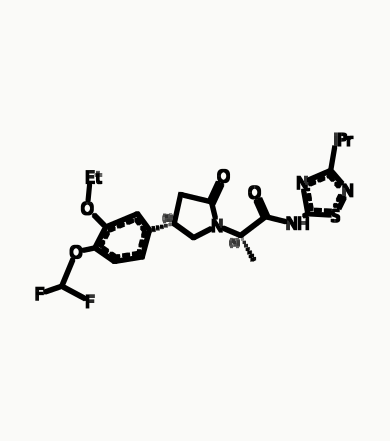 CCOc1cc([C@@H]2CC(=O)N([C@@H](C)C(=O)Nc3nc(C(C)C)ns3)C2)ccc1OC(F)F